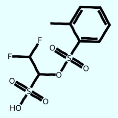 Cc1ccccc1S(=O)(=O)OC(C(F)F)S(=O)(=O)O